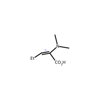 CC/C=C(\C(=O)O)N(C)C